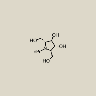 CCCN1[C@H](CO)[C@@H](O)[C@H](O)[C@H]1CO